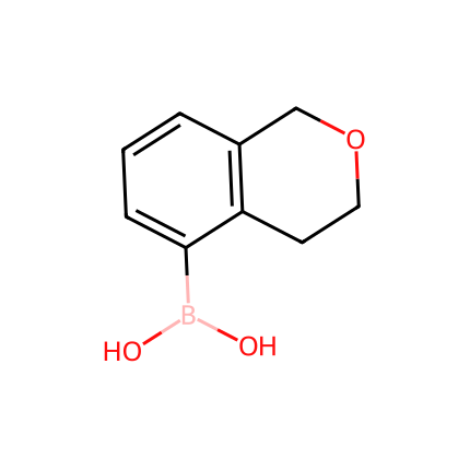 OB(O)c1cccc2c1CCOC2